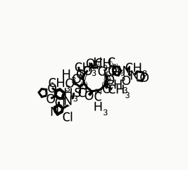 CC[C@H]1OC(=O)[C@H](C)C[C@H](C)[C@@H](OC2C[C@@H](N(C)C(=O)N3CCOCC3)C[C@@H](C)O2)[C@](C)(OC)C[C@@H](C)C(=O)C(C)[C@H]2C(SCCN(Cc3c(Cl)cncc3Cl)c3ccc(OC)c(OC4CCCC4)c3)C(=O)O[C@@]21C